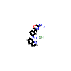 CC1(c2cccc(Nc3cccc4cccnc34)c2)COCC(N)=N1.Cl